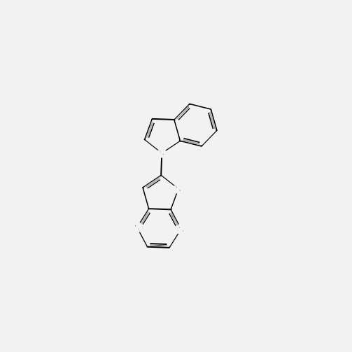 c1ccc2c(c1)ccn2-c1cc2nccnc2[nH]1